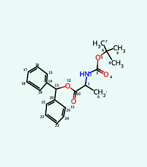 [CH2]C(NC(=O)OC(C)(C)C)C(=O)OC(c1ccccc1)c1ccccc1